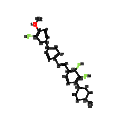 CCOc1ccc(-c2ccc(/C=C/c3ccc(C4CCC(CC)CC4)c(F)c3F)cc2)cc1F